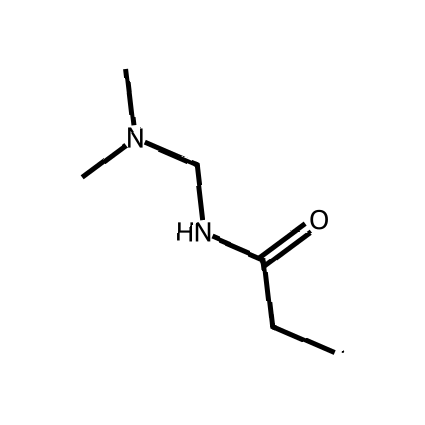 [CH2]CC(=O)NCN(C)C